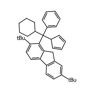 CC(C)(C)c1ccc2c(c1)Cc1c-2ccc(C(C)(C)C)c1C(c1ccccc1)(C1C=CC=C1)C1CCCCC1